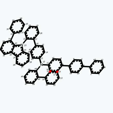 c1ccc(-c2ccc(-c3ccc(N(c4ccc(-c5ccccc5-n5c6ccccc6c6cccc(-c7ccccc7)c65)cc4)c4ccccc4-c4ccccc4)cc3)cc2)cc1